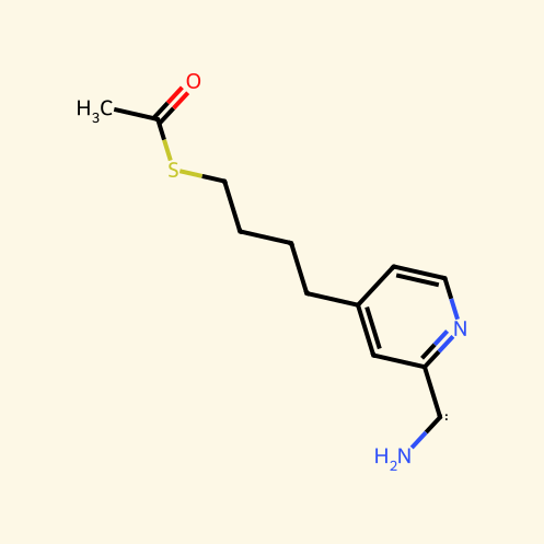 CC(=O)SCCCCc1ccnc([C]N)c1